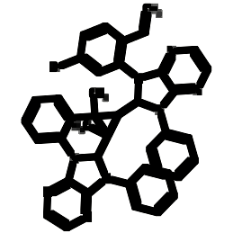 C=Cc1ccc(Br)cc1N1c2nccnc2N(c2ccccc2)C1C1C2(C)c3ccccc3N3c4nccnc4N(c4ccccc4)C3C12C